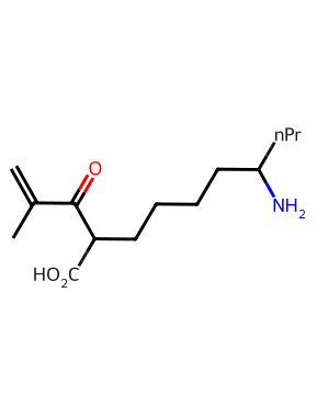 C=C(C)C(=O)C(CCCCC(N)CCC)C(=O)O